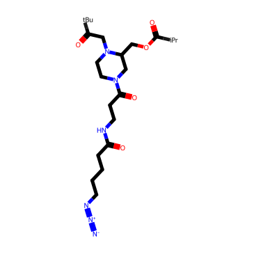 CC(C)C(=O)OCC1CN(C(=O)CCNC(=O)CCCCN=[N+]=[N-])CCN1CC(=O)C(C)(C)C